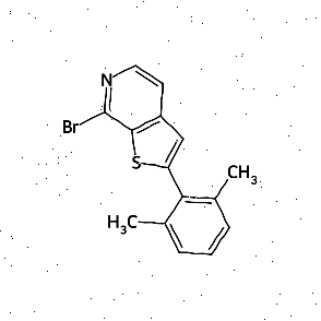 Cc1cccc(C)c1-c1cc2ccnc(Br)c2s1